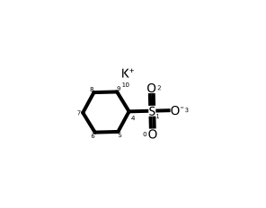 O=S(=O)([O-])C1CCCCC1.[K+]